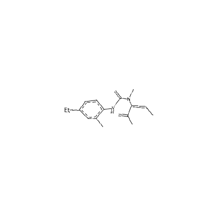 C=C(C)/C(=C\C)N(C)C(=C)Nc1ccc(CC)cc1C